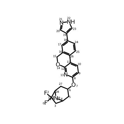 FC1(F)CC2CC(Oc3ccc4c(n3)OCc3cc(-c5cn[nH]c5)ccc3-4)CC1N2